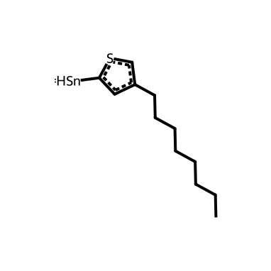 CCCCCCCCc1cs[c]([SnH])c1